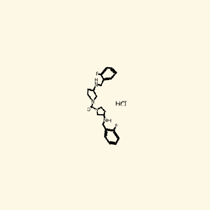 Cl.O=C(N1CCC(NCc2ccccc2F)C1)N1CCC(NCc2ccccc2F)C1